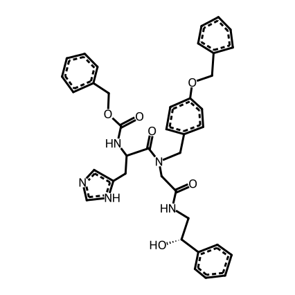 O=C(CN(Cc1ccc(OCc2ccccc2)cc1)C(=O)C(Cc1cnc[nH]1)NC(=O)OCc1ccccc1)NC[C@@H](O)c1ccccc1